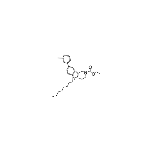 CCCCCCCCn1c2c(c3cc(-c4cccc(C)c4)ccc31)CN(C(=O)OCC)CC2